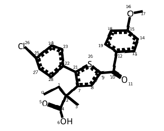 CCC(C)(C(=O)O)c1cc(C(=O)c2ccc(OC)cc2)sc1-c1ccc(Cl)cc1